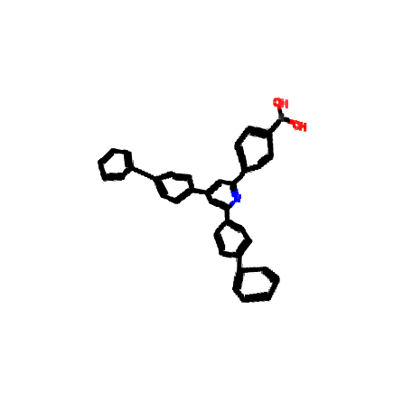 OB(O)c1ccc(-c2cc(-c3ccc(-c4ccccc4)cc3)cc(-c3ccc(-c4ccccc4)cc3)n2)cc1